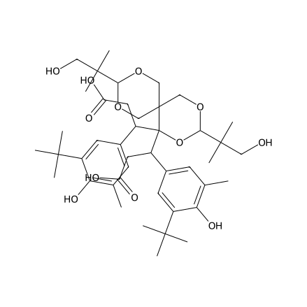 Cc1cc(C(CC(=O)O)C2(C(CC(=O)O)c3cc(C)c(O)c(C(C)(C)C)c3)OC(C(C)(C)CO)OCC23COC(C(C)(C)CO)OC3)cc(C(C)(C)C)c1O